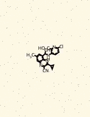 Cc1cc(C(C)Nc2ccc(Cl)nc2C(=O)O)c2nc(C3CC3)c(C#N)nc2c1